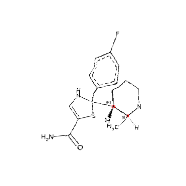 C[C@H]1[C@H](C2(c3ccc(F)cc3)NC=C(C(N)=O)S2)C2CCN1CC2